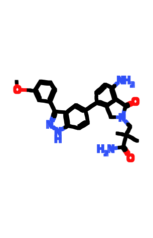 COc1cccc(-c2n[nH]c3ccc(-c4ccc(N)c5c4CN(CC(C)(C)C(N)=O)C5=O)cc23)c1